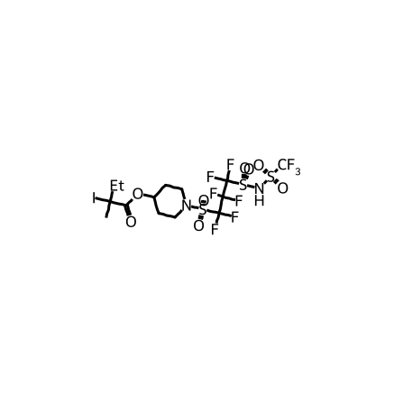 CCC(C)(I)C(=O)OC1CCN(S(=O)(=O)C(F)(F)C(F)(F)C(F)(F)S(=O)(=O)NS(=O)(=O)C(F)(F)F)CC1